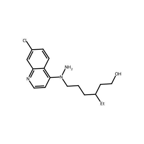 CCC(CCO)CCCN(N)c1ccnc2cc(Cl)ccc12